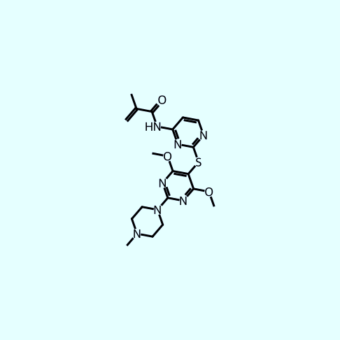 C=C(C)C(=O)Nc1ccnc(Sc2c(OC)nc(N3CCN(C)CC3)nc2OC)n1